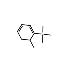 CC1CC=CC=C1[Si](C)(C)C